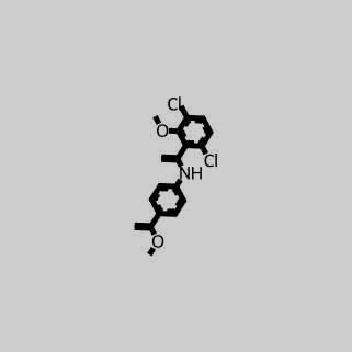 C=C(OC)c1ccc(NC(=C)c2c(Cl)ccc(Cl)c2OC)cc1